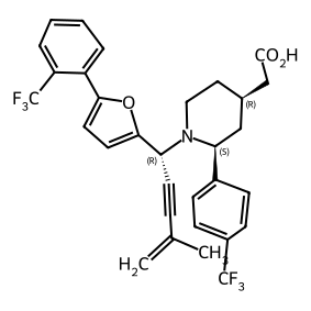 C=C(C)C#C[C@H](c1ccc(-c2ccccc2C(F)(F)F)o1)N1CC[C@@H](CC(=O)O)C[C@H]1c1ccc(C(F)(F)F)cc1